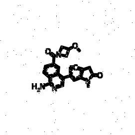 COC1CN(C(=O)c2ccc3c(N)ncc(-c4ccc5c(c4)N(C)C(=O)C5)c3c2)C1